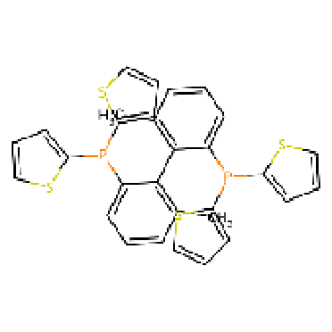 Cc1cccc(P(c2cccs2)c2cccs2)c1-c1c(C)cccc1P(c1cccs1)c1cccs1